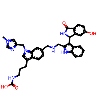 Cn1cnc(Cn2cc(CCCNC(=O)O)c3ccc(CNCc4[nH]c5ccccc5c4C4NC(=O)c5ccc(O)cc54)cc32)c1